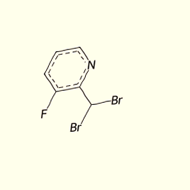 Fc1cccnc1C(Br)Br